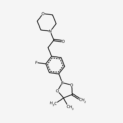 C=C1OB(c2ccc(CC(=O)N3CCOCC3)c(F)c2)OC1(C)C